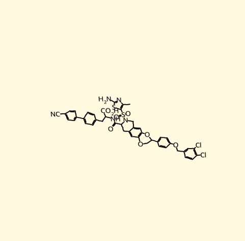 Cc1nc(N)sc1S(=O)(=O)N1Cc2cc3c(cc2CC1C(=O)NC(Cc1ccc(-c2ccc(C#N)cc2)cc1)C(=O)O)OCC(c1ccc(OCc2ccc(Cl)c(Cl)c2)cc1)O3